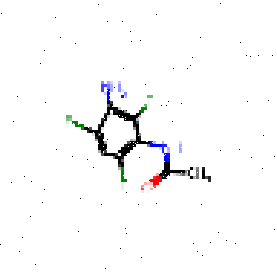 CC(=O)Nc1c(F)cc(F)c(N)c1F